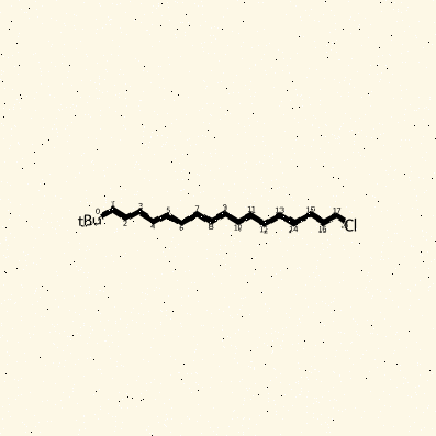 CC(C)(C)CCCCCCCCCCCCCCCCCCl